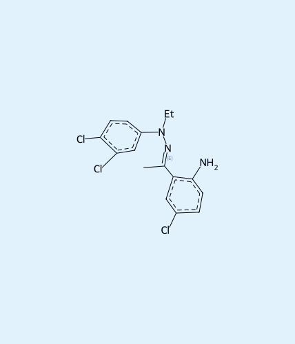 CCN(/N=C(\C)c1cc(Cl)ccc1N)c1ccc(Cl)c(Cl)c1